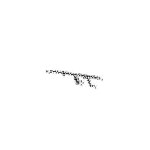 CCCCCCCCCOC(=O)CCCCCCCN(CCCCCCCC(=O)OC(CCCCCCCC)CCCCCCCC)CCOC(=O)CN(C)C